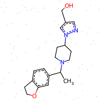 CC(c1ccc2c(c1)OCC2)N1CCC(n2cc(CO)cn2)CC1